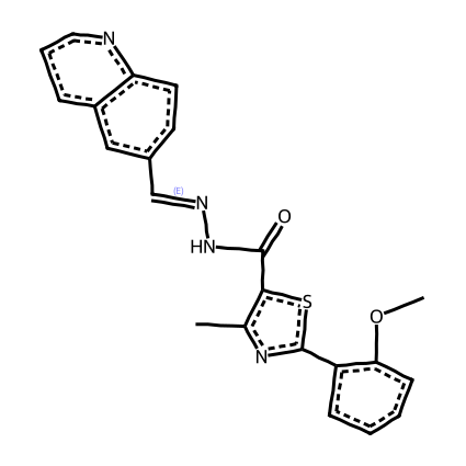 COc1ccccc1-c1nc(C)c(C(=O)N/N=C/c2ccc3ncccc3c2)s1